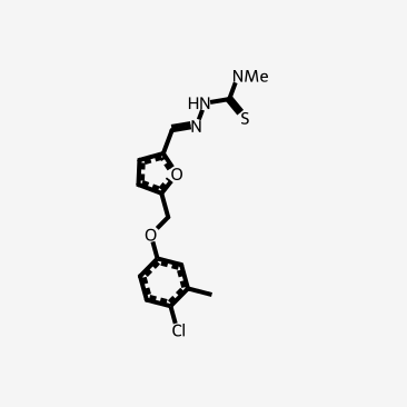 CNC(=S)NN=Cc1ccc(COc2ccc(Cl)c(C)c2)o1